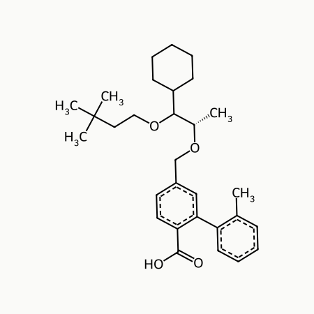 Cc1ccccc1-c1cc(CO[C@@H](C)C(OCCC(C)(C)C)C2CCCCC2)ccc1C(=O)O